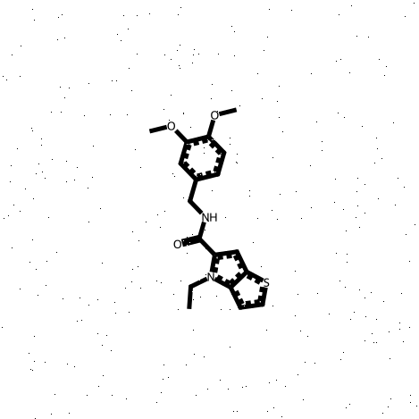 CCn1c(C(=O)NCc2ccc(OC)c(OC)c2)cc2sccc21